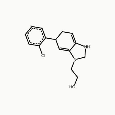 OCCN1CNC2=CCC(c3ccccc3Cl)C=C21